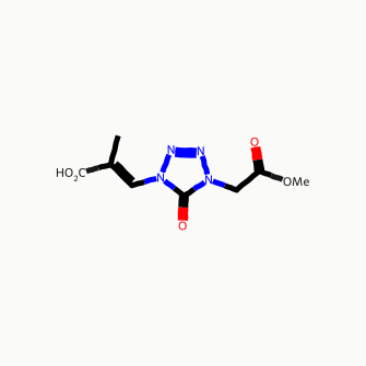 COC(=O)Cn1nnn(C=C(C)C(=O)O)c1=O